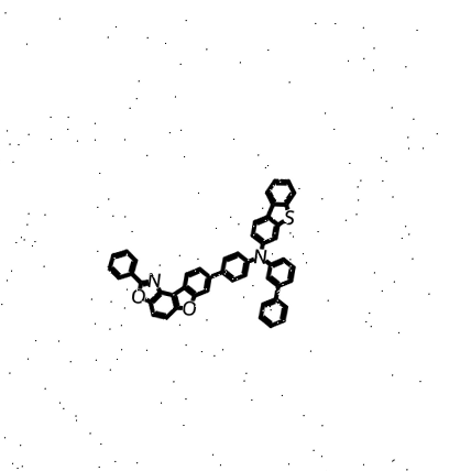 c1ccc(-c2cccc(N(c3ccc(-c4ccc5c(c4)oc4ccc6oc(-c7ccccc7)nc6c45)cc3)c3ccc4c(c3)sc3ccccc34)c2)cc1